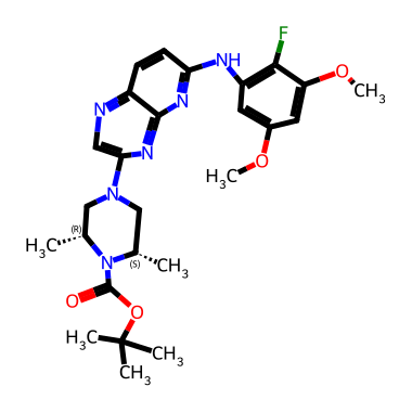 COc1cc(Nc2ccc3ncc(N4C[C@@H](C)N(C(=O)OC(C)(C)C)[C@@H](C)C4)nc3n2)c(F)c(OC)c1